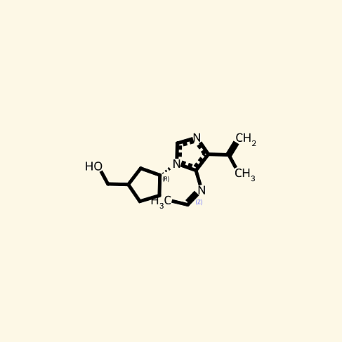 C=C(C)c1ncn([C@@H]2CCC(CO)C2)c1/N=C\C